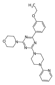 CCOc1cccc(-c2nc(N3CCOCC3)nc(N3CCN(c4ccccn4)CC3)n2)c1